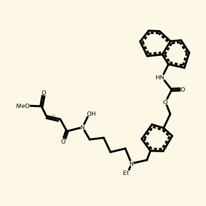 CCN(CCCCN(O)C(=O)/C=C/C(=O)OC)Cc1ccc(COC(=O)Nc2cccc3ccccc23)cc1